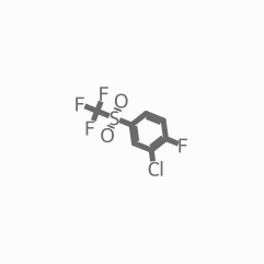 O=S(=O)(c1ccc(F)c(Cl)c1)C(F)(F)F